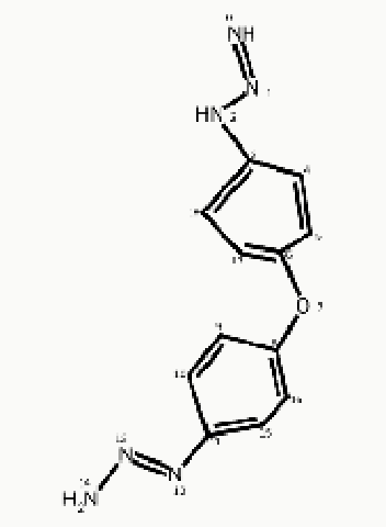 N=NNc1ccc(Oc2ccc(N=NN)cc2)cc1